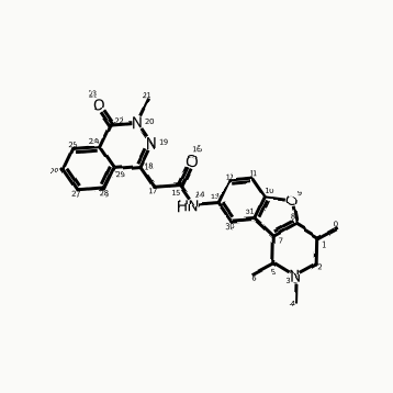 CC1CN(C)C(C)c2c1oc1ccc(NC(=O)Cc3nn(C)c(=O)c4ccccc34)cc21